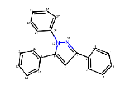 [c]1ccccc1-c1cc(-c2ccccc2)n(-c2ccccc2)n1